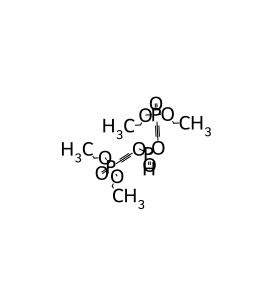 CCOP(=O)(C#CO[PH](=O)OC#CP(=O)(OCC)OCC)OCC